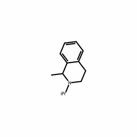 CC(C)N1CCc2ccccc2C1C